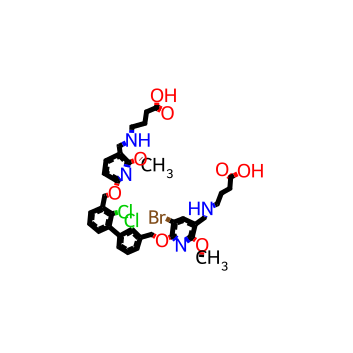 COc1nc(OCc2cccc(-c3cccc(COc4nc(OC)c(CNCCCC(=O)O)cc4Br)c3Cl)c2Cl)ccc1CNCCCC(=O)O